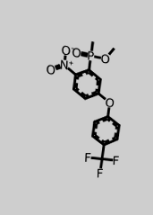 COP(C)(=O)c1cc(Oc2ccc(C(F)(F)F)cc2)ccc1[N+](=O)[O-]